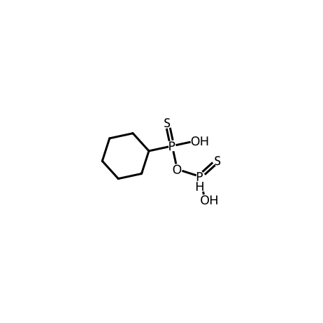 O[PH](=S)OP(O)(=S)C1CCCCC1